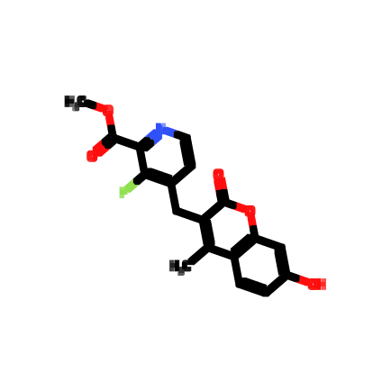 COC(=O)c1nccc(Cc2c(C)c3ccc(O)cc3oc2=O)c1F